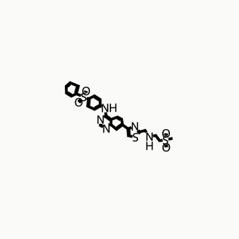 CS(=O)(=O)CCNCc1nc(-c2ccc3c(Nc4ccc(S(=O)(=O)c5ccccc5)cc4)ncnc3c2)cs1